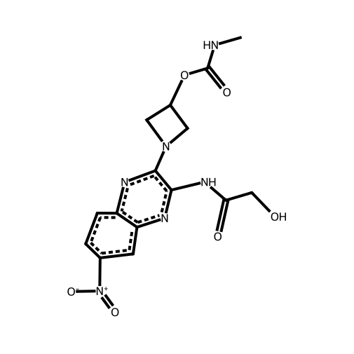 CNC(=O)OC1CN(c2nc3ccc([N+](=O)[O-])cc3nc2NC(=O)CO)C1